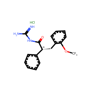 Cl.N=C(N)NC(=O)[C@H](Cc1ccccc1OC(F)(F)F)c1ccccc1